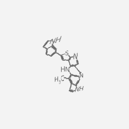 Cc1c(Nc2c(C#N)cnc3sc(-c4ccc5cc[nH]c5c4)cc23)ccc2[nH]ccc12